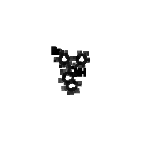 Brc1ccc(-c2c(-c3ccccc3)[nH]c3c2ccc2ccccc23)cc1